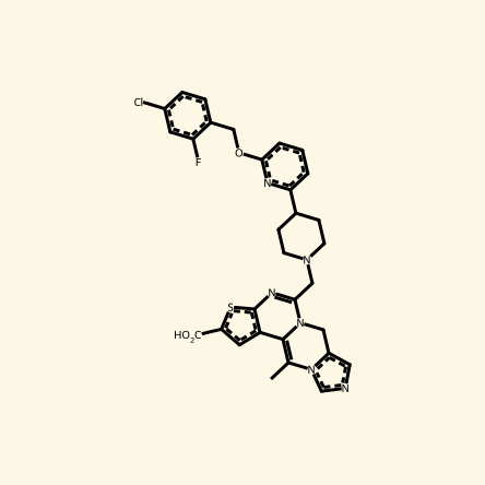 CC1=C2c3cc(C(=O)O)sc3N=C(CN3CCC(c4cccc(OCc5ccc(Cl)cc5F)n4)CC3)N2Cc2cncn21